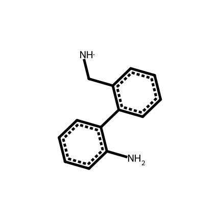 [NH]Cc1ccccc1-c1ccccc1N